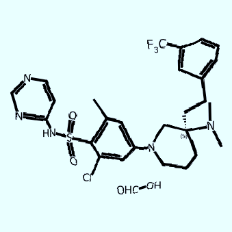 Cc1cc(N2CCC[C@](CCc3cccc(C(F)(F)F)c3)(N(C)C)C2)cc(Cl)c1S(=O)(=O)Nc1ccncn1.O=CO